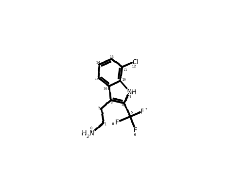 NCCc1c(C(F)(F)F)[nH]c2c(Cl)cccc12